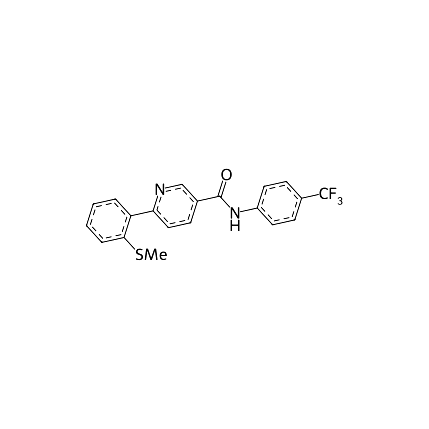 CSc1ccccc1-c1ccc(C(=O)Nc2ccc(C(F)(F)F)cc2)cn1